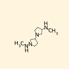 CNC1CCN(C2CCN(NC)C2)C1